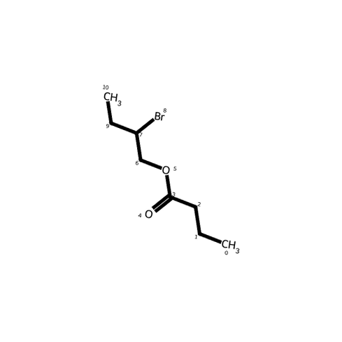 CCCC(=O)OCC(Br)CC